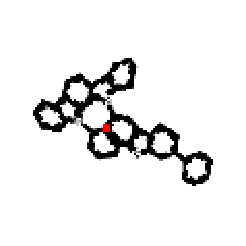 c1ccc(-c2ccc3c(c2)sc2ccc(-n4c5ccccc5c5ccc6c7ccccc7n(-c7ccccc7)c6c54)cc23)cc1